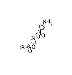 CC(C)(C)OC(=O)OC1CCN(CC2CN(c3ccc(N)cc3)C(=O)O2)CC1